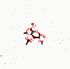 COC(=O)C1OC(O)[C@H](OC(C)=O)C(OC(C)=O)[C@@H]1OC(C)=O